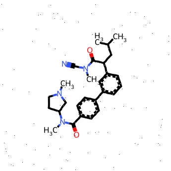 CC(C)CC(C(=O)N(C)C#N)c1cccc(-c2ccc(C(=O)N(C)C3CCN(C)C3)cc2)c1